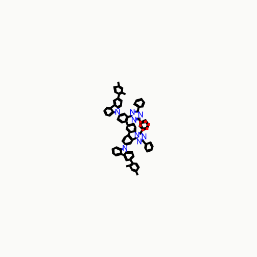 Cc1ccc(-c2ccc3c(c2)c2ccccc2n3-c2ccc(-c3cccc(-c4ccc(-n5c6ccccc6c6cc(-c7ccc(C)cc7C)ccc65)cc4-c4nc(-c5ccccc5)nc(-c5ccccc5)n4)c3)c(-c3nc(-c4ccccc4)nc(-c4ccccc4)n3)c2)c(C)c1